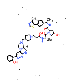 Cc1ncsc1-c1ccc([C@H](C)NC(=O)[C@@H]2C[C@@H](O)CN2C(=O)[C@@H](NC(=O)CCN2CCC(CN3CCN4c5cc(-c6ccccc6O)nnc5NC[C@@H]4C3)CC2)C(C)(C)C)cc1